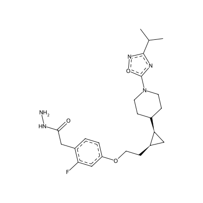 CC(C)c1noc(N2CCC([C@H]3C[C@H]3CCOc3ccc(CC(=O)NN)c(F)c3)CC2)n1